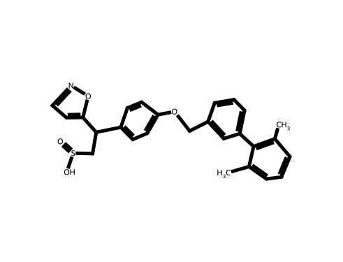 Cc1cccc(C)c1-c1cccc(COc2ccc(C(CS(=O)O)c3ccno3)cc2)c1